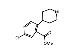 COC(=O)c1cc(Cl)ccc1C1CCNCC1